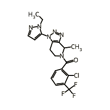 CCn1nccc1-n1nnc2c1CCN(C(=O)c1cccc(C(F)(F)F)c1Cl)C2C